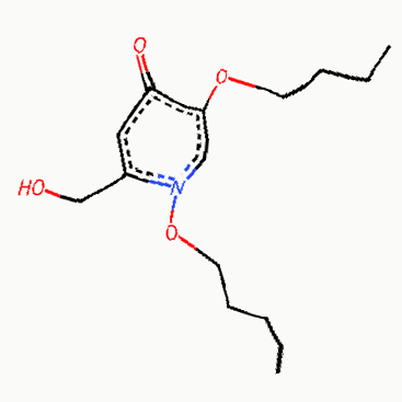 CCCCOc1cn(OCCCC)c(CO)cc1=O